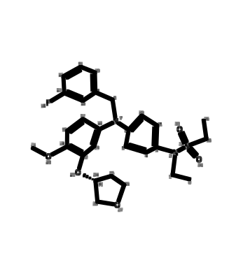 CCN(c1ccc(N(Cc2cccc(F)c2)c2ccc(OC)c(O[C@@H]3CCOC3)c2)cc1)S(=O)(=O)CC